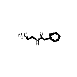 C=CCNC(=O)Cc1ccccc1